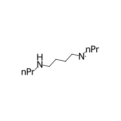 CCC[N]CCCCNCCC